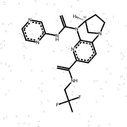 C=C(NCC(C)(F)F)c1ccc2c(n1)N(C(=C)Nc1cnccn1)[C@H]1CCN2C1